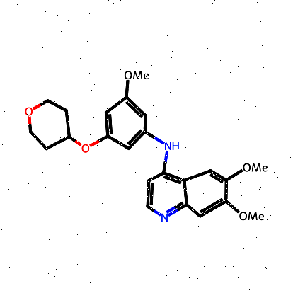 COc1cc(Nc2ccnc3cc(OC)c(OC)cc23)cc(OC2CCOCC2)c1